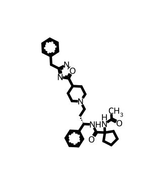 CC(=O)NC1(C(=O)N[C@@H](CCN2CCC(c3nc(Cc4ccccc4)no3)CC2)c2ccccc2)CCCC1